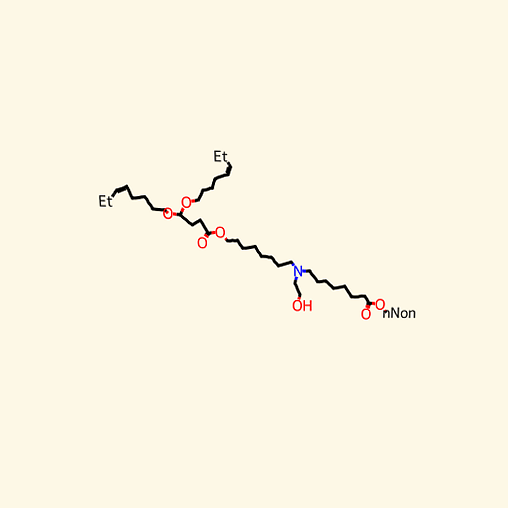 CC/C=C\CCCCOC(CCC(=O)OCCCCCCCCN(CCO)CCCCCCCC(=O)OCCCCCCCCC)OCCCC/C=C\CC